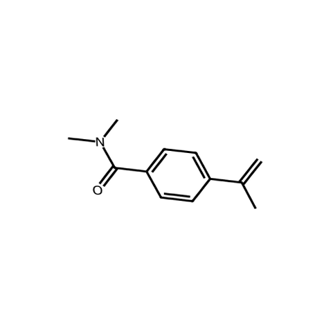 C=C(C)c1ccc(C(=O)N(C)C)cc1